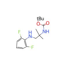 CC(C)(CNc1c(F)cccc1F)NC(=O)OC(C)(C)C